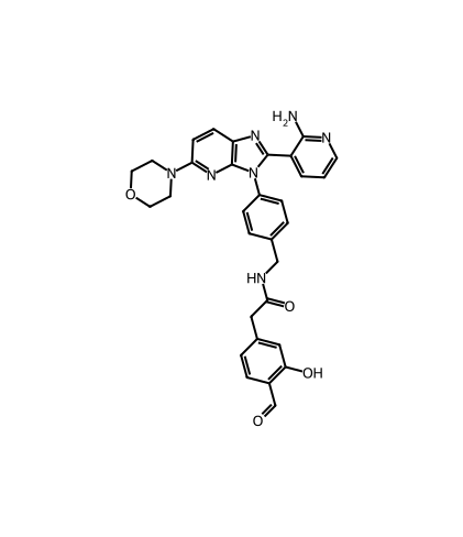 Nc1ncccc1-c1nc2ccc(N3CCOCC3)nc2n1-c1ccc(CNC(=O)Cc2ccc(C=O)c(O)c2)cc1